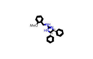 COc1ccccc1CNC1=N[C@@H](c2ccccc2)[C@H](c2ccccc2)N1